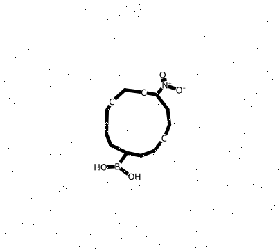 O=[N+]([O-])C1CCCCCCC(B(O)O)CCCCC1